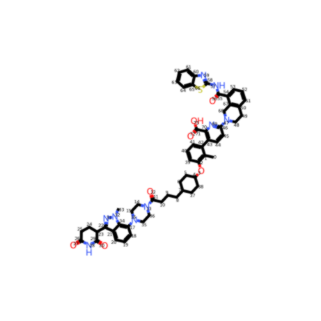 Cc1c(OC2CCC(CCCC(=O)N3CCN(c4cccc5c(C6CCC(=O)NC6=O)nn(C)c45)CC3)CC2)cccc1-c1ccc(N2CCc3cccc(C(=O)Nc4nc5ccccc5s4)c3C2)nc1C(=O)O